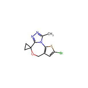 Cc1nnc2n1-c1sc(Br)cc1COC21CC1